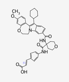 COc1ccc2c(c1)OCCn1c-2c(C2CCCCC2)c2ccc(C(=O)NC3(C(=O)Nc4ccc(/C=C/C(=O)O)cc4)CCOCC3)cc21